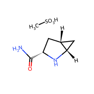 CS(=O)(=O)O.NC(=O)[C@@H]1C[C@@H]2C[C@@H]2N1